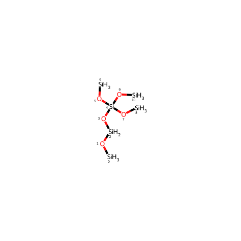 [SiH3]O[SiH2]O[Si](O[SiH3])(O[SiH3])O[SiH3]